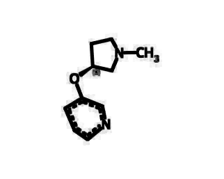 CN1CC[C@H](Oc2cccnc2)C1